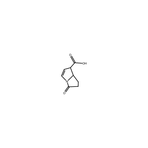 O=C(O)C1C=CN2C(=O)CCC12